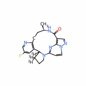 [2H]C1([2H])CCN2c3ccn4ncc(c4n3)C(=O)N[C@H](C)CCc3ncc(F)cc3C21[2H]